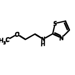 COCCNc1nccs1